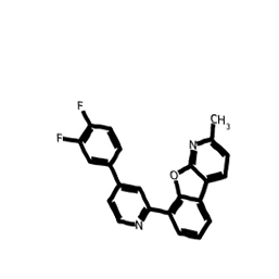 Cc1ccc2c(n1)oc1c(-c3cc(-c4ccc(F)c(F)c4)ccn3)cccc12